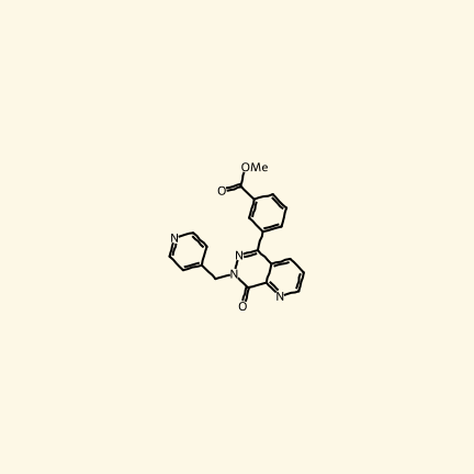 COC(=O)c1cccc(-c2nn(Cc3ccncc3)c(=O)c3ncccc23)c1